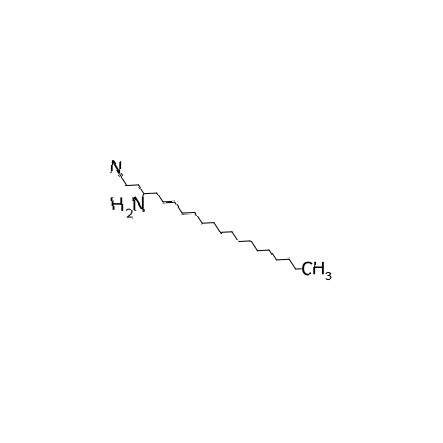 CCCCCCCCCCCCCCCCCC(N)CCC#N